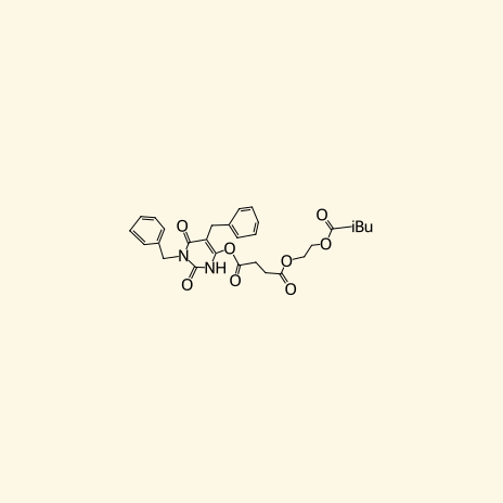 CCC(C)C(=O)OCCOC(=O)CCC(=O)Oc1[nH]c(=O)n(Cc2ccccc2)c(=O)c1Cc1ccccc1